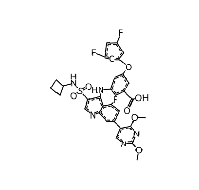 COc1ncc(-c2cc(F)c3c(Nc4cc(Oc5cc(F)cc(F)c5)cc(C(=O)O)c4)c(S(=O)(=O)NC4CCC4)cnc3c2)c(OC)n1